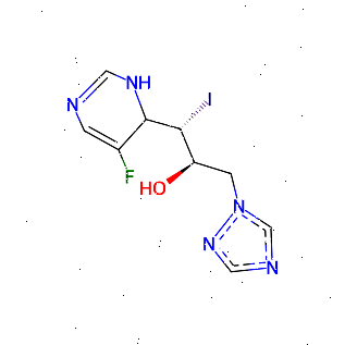 O[C@H](Cn1cncn1)[C@@H](I)C1NC=NC=C1F